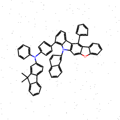 CC1(C)c2ccccc2-c2ccc(N(c3ccccc3)c3ccc(-c4cccc5c6c(-c7ccccc7)c7c(cc6n(-c6ccc8ccccc8c6)c45)oc4ccccc47)cc3)cc21